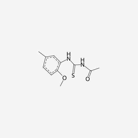 COc1ccc(C)cc1NC(=S)NC(C)=O